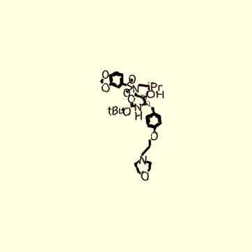 CC(C)CN(C[C@@H](O)[C@H](Cc1ccc(OCCCN2CCOCC2)cc1)NC(=O)OC(C)(C)C)S(=O)(=O)c1ccc2c(c1)OCO2